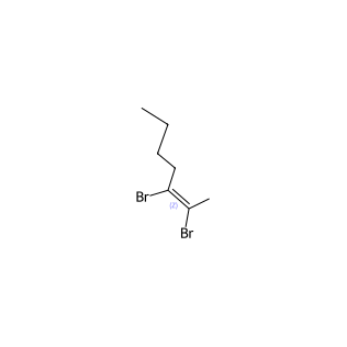 CCCC/C(Br)=C(\C)Br